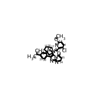 COc1ccc(Cl)c(C(=O)N2CCC3CCC(C2)N3Cc2c(-c3ccc(C(C)C)cc3)nc3ncccn23)n1